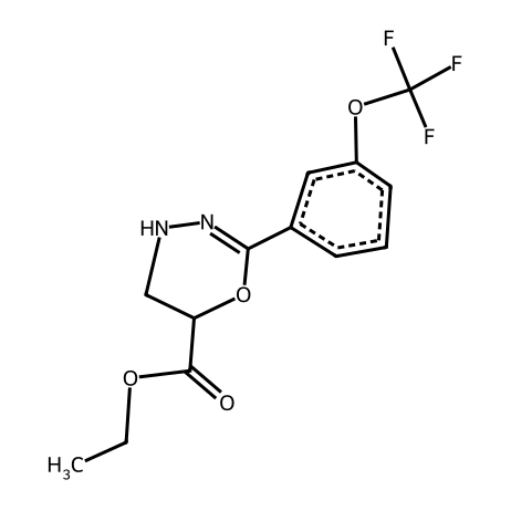 CCOC(=O)C1CNN=C(c2cccc(OC(F)(F)F)c2)O1